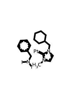 Cn1ccn(CC2CCCCC2)[c]1=[Pt].IN(I)Cc1ccccc1